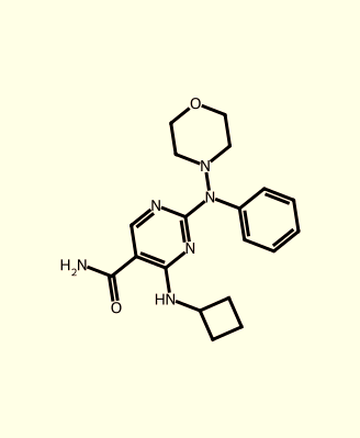 NC(=O)c1cnc(N(c2ccccc2)N2CCOCC2)nc1NC1CCC1